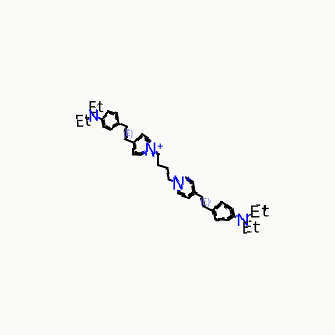 CCN(CC)c1ccc(/C=C/c2cc[n+](CCCC[n+]3ccc(/C=C/c4ccc(N(CC)CC)cc4)cc3)cc2)cc1